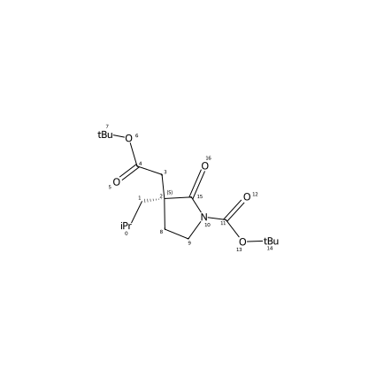 CC(C)C[C@@]1(CC(=O)OC(C)(C)C)CCN(C(=O)OC(C)(C)C)C1=O